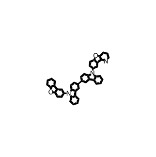 c1ccc2c(c1)oc1ccc(-n3c4ccccc4c4cc(-c5ccc6c(c5)c5ccccc5n6-c5ccc6oc7cccnc7c6c5)ccc43)cc12